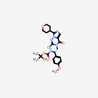 COc1ccc([C@@H](Cn2c(Cl)nn3c(C4CCOCC4)ncc3c2=O)NC(=O)OC(C)(C)C)cc1